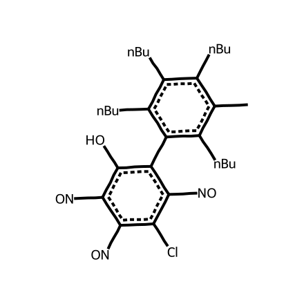 CCCCc1c(C)c(CCCC)c(-c2c(O)c(N=O)c(N=O)c(Cl)c2N=O)c(CCCC)c1CCCC